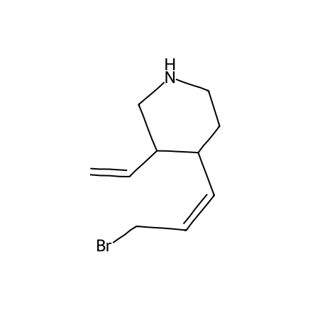 C=CC1CNCCC1/C=C\CBr